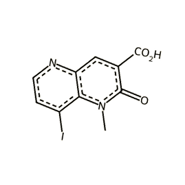 Cn1c(=O)c(C(=O)O)cc2nccc(I)c21